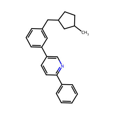 CC1CCC(Cc2cccc(-c3ccc(-c4ccccc4)nc3)c2)C1